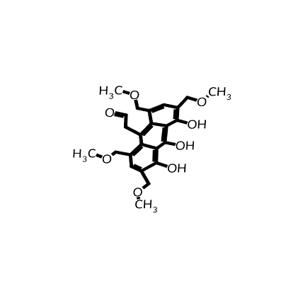 COCc1cc(COC)c2c(CC=O)c3c(COC)cc(COC)c(O)c3c(O)c2c1O